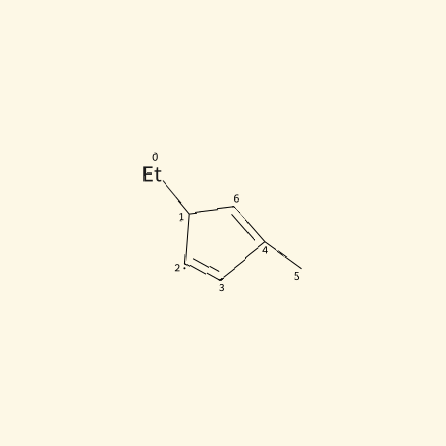 CCC1[C]=CC(C)=C1